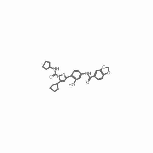 O=C(Nc1ccc(-c2cc(C3CCCC3)n(C(=O)NC3CCCC3)n2)c(O)c1)c1ccc2c(c1)OCO2